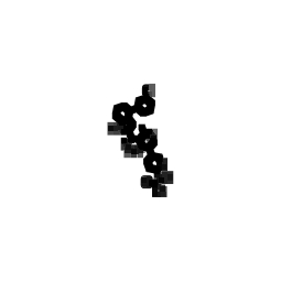 CCC/N=C(/c1cc2c(-c3cccc(Cl)c3)cccc2[nH]1)c1cc(-c2ccc(NC(=O)CC)nc2)cnc1C